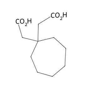 O=C(O)CC1(CC(=O)O)CCCCCC1